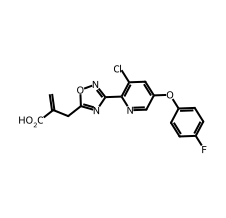 C=C(Cc1nc(-c2ncc(Oc3ccc(F)cc3)cc2Cl)no1)C(=O)O